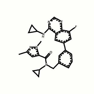 Cc1cc(C(=O)N(Cc2cccc(-c3cc(F)c4ncnc(NC5CC5)c4c3)c2)C2CC2)n(C)n1